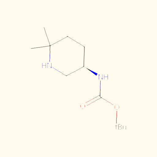 CC1(C)CC[C@@H](NC(=O)OC(C)(C)C)CN1